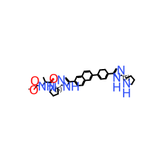 COC(=O)NC(C)C(=O)N1CCC[C@H]1c1ncc(-c2ccc3cc(C4=CC=C(c5cnc([C@@H]6CCCN6)[nH]5)CC4)ccc3c2)[nH]1